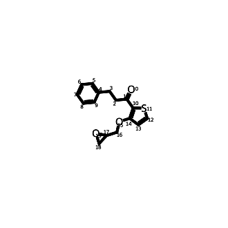 O=C(CCc1ccccc1)c1sccc1OCC1CO1